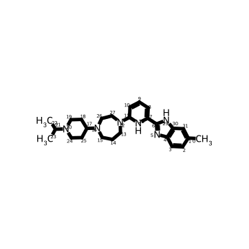 Cc1ccc2nc(C3=CC=CC(N4CCCN(C5CCN(C(C)C)CC5)CC4)N3)[nH]c2c1